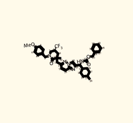 COc1ccc(CN2C[C@H](C(F)(F)F)CC(C)(Cc3ccc4nc([C@@H](NC(=O)OCc5ccccc5)C5CCC(C)CC5)cn4n3)C2=O)cc1